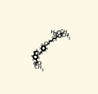 COC(=O)c1ccc2ccn(Cc3ccc(OCCCCCC(=O)OC(C)(C)C)cc3)c2c1